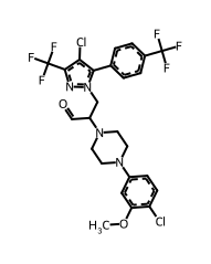 COc1cc(N2CCN(C(C=O)Cn3nc(C(F)(F)F)c(Cl)c3-c3ccc(C(F)(F)F)cc3)CC2)ccc1Cl